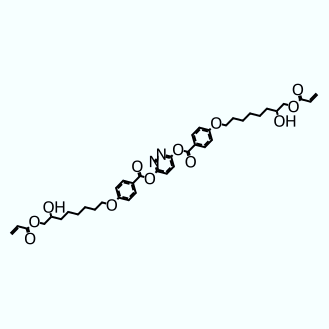 C=CC(=O)OCC(O)CCCCCCOc1ccc(C(=O)Oc2ccc(OC(=O)c3ccc(OCCCCCCC(O)COC(=O)C=C)cc3)nn2)cc1